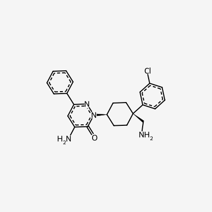 NC[C@]1(c2cccc(Cl)c2)CC[C@H](n2nc(-c3ccccc3)cc(N)c2=O)CC1